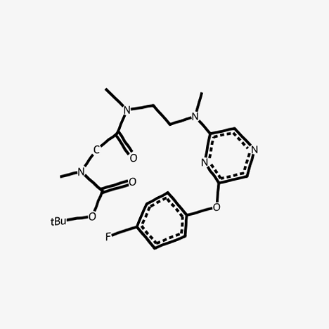 CN(CCN(C)c1cncc(Oc2ccc(F)cc2)n1)C(=O)CN(C)C(=O)OC(C)(C)C